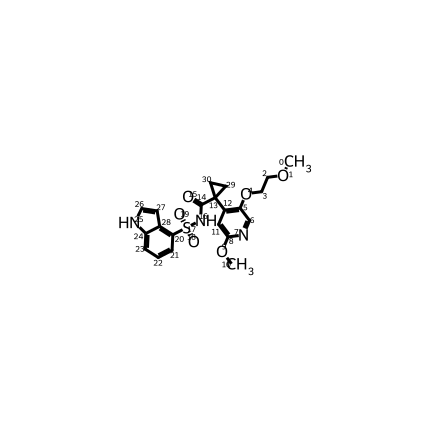 COCCOc1cnc(OC)cc1C1(C(=O)NS(=O)(=O)c2cccc3[nH]ccc23)CC1